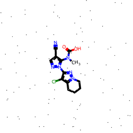 CN(C(=O)O)c1c(C#N)cnn1-c1nn2c(c1Cl)CCCC2